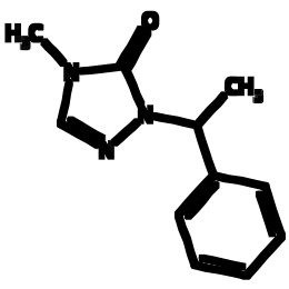 CC(c1ccccc1)n1ncn(C)c1=O